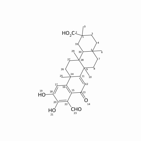 CC1(C(=O)O)CCC2(C)CCC3(C)C4=CC(=O)c5c(cc(O)c(O)c5C=O)C4(C)CCC3(C)C2C1